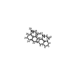 CN(C)c1cccc2cccc(N(C)C)c12.CN(C)c1cccc2cccc(N(C)C)c12